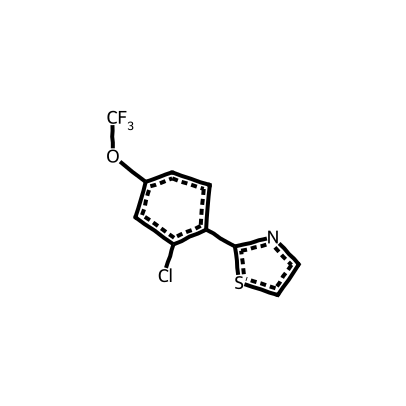 FC(F)(F)Oc1ccc(-c2nccs2)c(Cl)c1